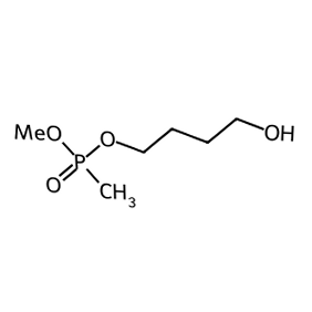 COP(C)(=O)OCCCCO